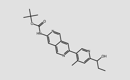 CCC(O)c1cc(C)c(-c2cc3cnc(NC(=O)OC(C)(C)C)cc3cn2)cn1